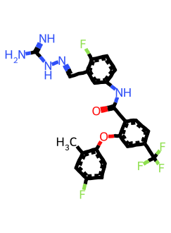 Cc1cc(F)ccc1Oc1cc(C(F)(F)F)ccc1C(=O)Nc1ccc(F)c(C=NNC(=N)N)c1